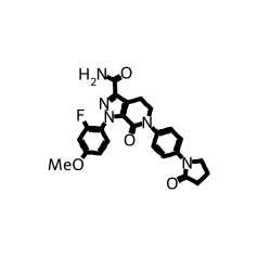 COc1ccc(-n2nc(C(N)=O)c3c2C(=O)N(c2ccc(N4CCCC4=O)cc2)CC3)c(F)c1